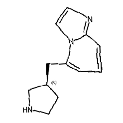 c1cc(C[C@H]2CCNC2)n2ccnc2c1